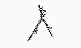 CCCCC/C=C/CC(C=O)CC(=O)OCCOCCN(CCOCCOCCOC(=O)CC(C=O)C/C=C/CCCCCCC)c1ccc(/N=N/c2sc(C#N)c(C)c2C#N)c(C)c1